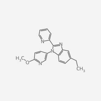 CCc1ccc2c(c1)nc(-c1ccccn1)n2-c1ccc(OC)nc1